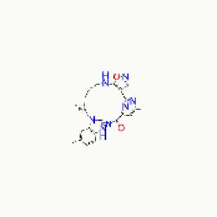 Cc1ccc2c(c1)N1C[C@H](C)CCCNc3oncc3-c3nc(C)cc(n3)C(=O)/N=C/1N2